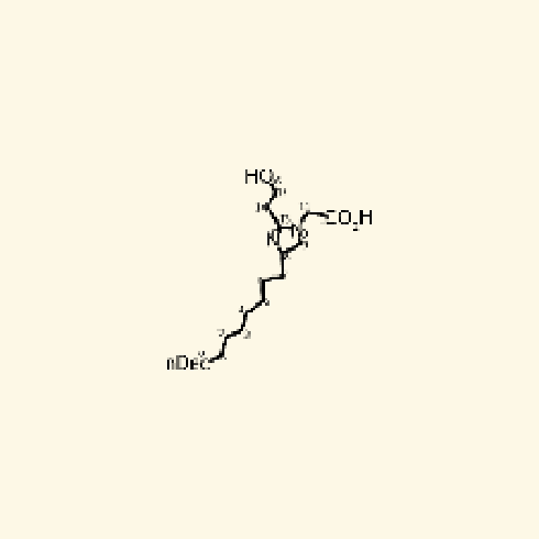 CCCCCCCCCCCCCCCCCC1CN(CC(=O)O)C(CCO)=N1